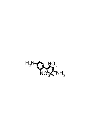 CC1(C)CC(c2ccc(N)cc2[N+](=O)[O-])=C([N+](=O)[O-])C=C1N